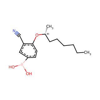 CCCCCC[C@@H](C)Oc1ccc(B(O)O)cc1C#N